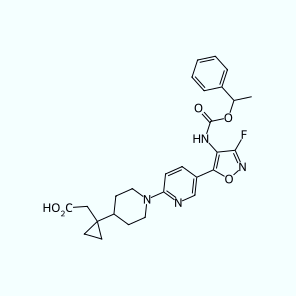 CC(OC(=O)Nc1c(F)noc1-c1ccc(N2CCC(C3(CC(=O)O)CC3)CC2)nc1)c1ccccc1